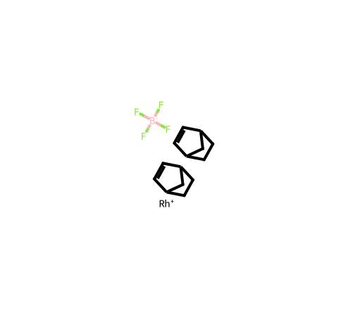 C1=CC2CCC1C2.C1=CC2CCC1C2.F[B-](F)(F)F.[Rh+]